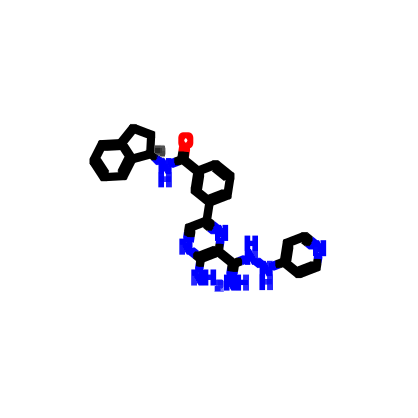 N=C(NNc1ccncc1)c1nc(-c2cccc(C(=O)N[C@@H]3CCc4ccccc43)c2)cnc1N